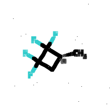 C[C@@H]1CC(F)(F)C1(F)F